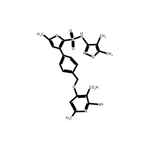 CCCc1nc(C)cc(OCc2ccc(-c3cc(C)sc3S(=O)(=O)Nc3noc(C)c3C)cc2)c1C(=O)O